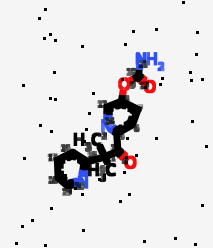 CC(C)(C(=O)c1ccc(OC(N)=O)cn1)c1ccccn1